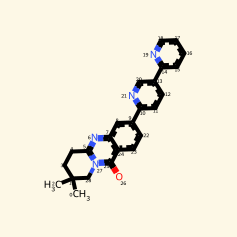 CC1(C)CCc2nc3cc(-c4ccc(-c5ccccn5)cn4)ccc3c(=O)n2C1